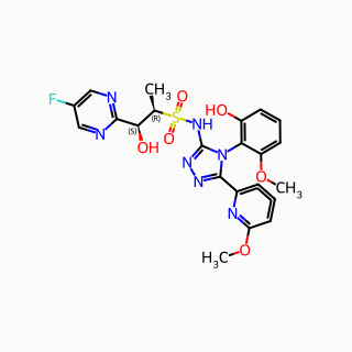 COC1=NC(c2nnc(NS(=O)(=O)[C@H](C)[C@@H](O)c3ncc(F)cn3)n2-c2c(O)cccc2OC)=C=C=C1